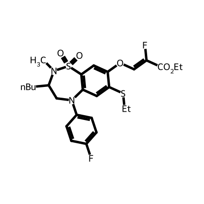 CCCCC1CN(c2ccc(F)cc2)c2cc(SCC)c(O/C=C(\F)C(=O)OCC)cc2S(=O)(=O)N1C